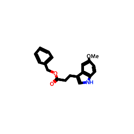 COc1ccc2[nH]cc(CCC(=O)OCc3ccccc3)c2c1